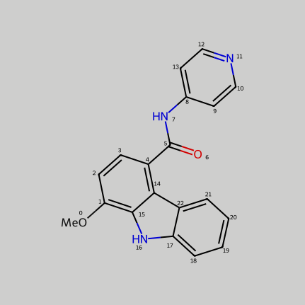 COc1ccc(C(=O)Nc2ccncc2)c2c1[nH]c1ccccc12